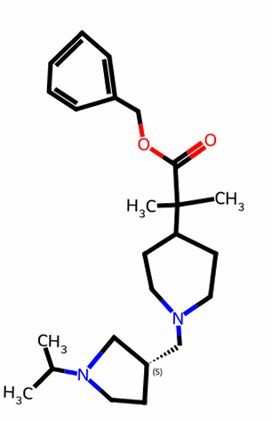 CC(C)N1CC[C@@H](CN2CCC(C(C)(C)C(=O)OCc3ccccc3)CC2)C1